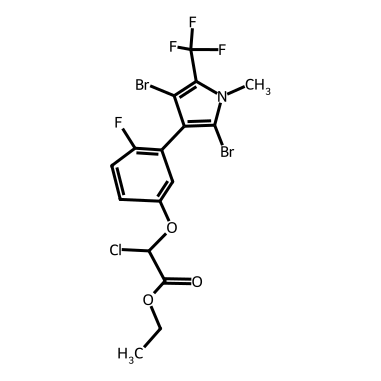 CCOC(=O)C(Cl)Oc1ccc(F)c(-c2c(Br)c(C(F)(F)F)n(C)c2Br)c1